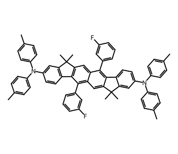 Cc1ccc(N(c2ccc(C)cc2)c2ccc3c(c2)C(C)(C)c2cc4c(-c5cccc(F)c5)c5c(cc4c(-c4cccc(F)c4)c2-3)C(C)(C)c2cc(N(c3ccc(C)cc3)c3ccc(C)cc3)ccc2-5)cc1